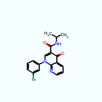 CC(C)NC(=O)c1cn(-c2cccc(Br)c2)c2ncccc2c1=O